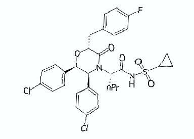 CCC[C@@H](C(=O)NS(=O)(=O)C1CC1)N1C(=O)[C@@H](Cc2ccc(F)cc2)O[C@H](c2ccc(Cl)cc2)[C@@H]1c1ccc(Cl)cc1